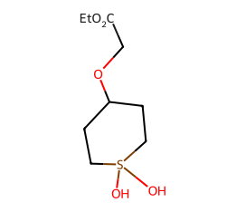 CCOC(=O)COC1CCS(O)(O)CC1